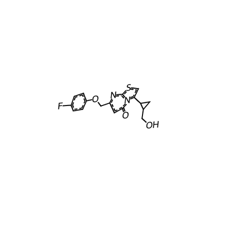 O=c1cc(COc2ccc(F)cc2)nc2scc(C3CC3CO)n12